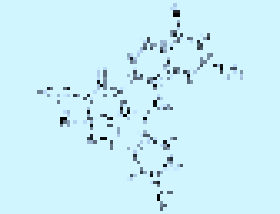 CCC(C)(C)C(NC(=O)c1ccc2c(F)cc(C)cc2c1OCc1ccc(C(F)(F)F)cc1)C(=O)O